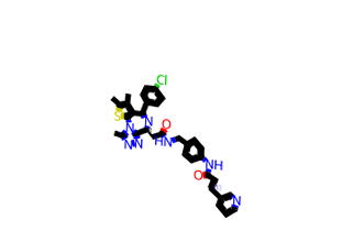 Cc1sc2c(c1C)C(c1ccc(Cl)cc1)=N[C@@H](CC(=O)NCc1ccc(NC(=O)/C=C/c3cccnc3)cc1)c1nnc(C)n1-2